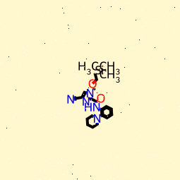 C[Si](C)(C)CCOCn1cc(C#N)nc1C(=O)Nc1ccccc1N1CCCCC1